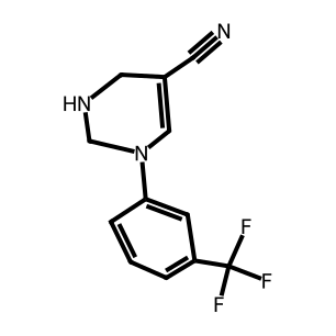 N#CC1=CN(c2cccc(C(F)(F)F)c2)CNC1